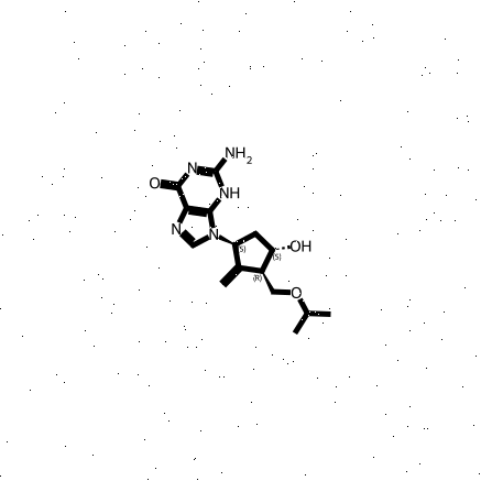 C=C1[C@H](COC(C)C)[C@@H](O)C[C@@H]1n1cnc2c(=O)nc(N)[nH]c21